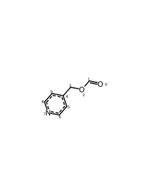 O=COCc1ccncc1